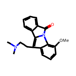 COc1cccc2c(CCN(C)C)c3n(c12)C(=O)c1ccccc1-3